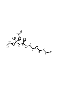 CCCCOCCOC(=O)CP(=O)(OCC)OCC